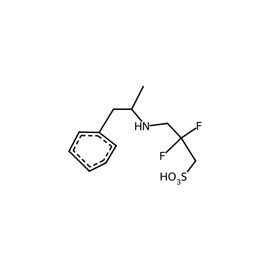 CC(Cc1ccccc1)NCC(F)(F)CS(=O)(=O)O